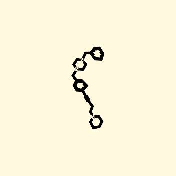 C(#Cc1ccc(CN2CCN(Cc3ccccc3)CC2)cc1)CCN1CCCCC1